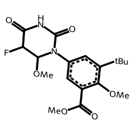 COC(=O)c1cc(N2C(=O)NC(=O)C(F)C2OC)cc(C(C)(C)C)c1OC